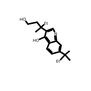 CCC(C)(C)c1ccc2c(O)c(C(C)(CC)CCO)cnc2c1